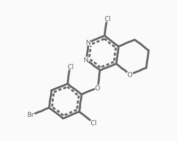 Clc1cc(Br)cc(Cl)c1Oc1nnc(Cl)c2c1OCCC2